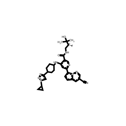 CC(C)(O)[C@H](F)CNC(=O)c1cnc(-c2ccc3cc(C#N)cnn23)cc1NC1CCC(c2cn(C3CC3)nn2)CC1